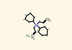 C=CC[N+](CC=C)(C1CCCCC1)C1CCCCC1.[Cl-]